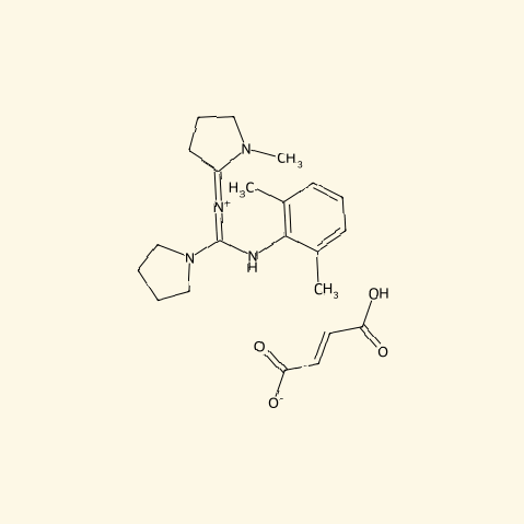 Cc1cccc(C)c1NC(=[N+]=C1CCCN1C)N1CCCC1.O=C([O-])C=CC(=O)O